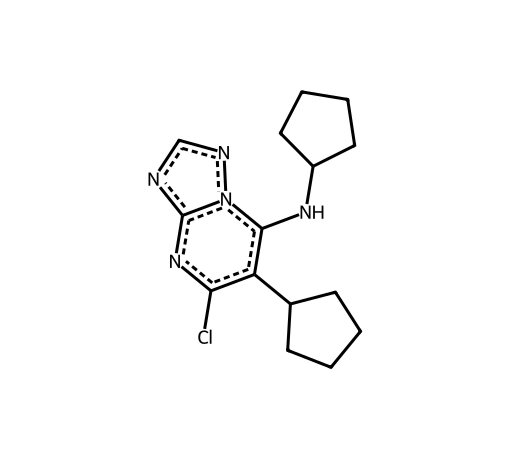 Clc1nc2ncnn2c(NC2CCCC2)c1C1CCCC1